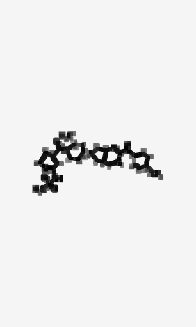 C[C@@H]1C[C@H](N2Cc3cnc(Nc4ccc(C(F)(F)F)cc4)nc3C2)CCN1C(=O)c1ccnc(NS(C)(=O)=O)c1